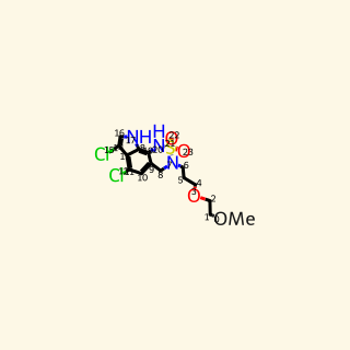 COCCOCCCN1Cc2cc(Cl)c3c(Cl)c[nH]c3c2NS1(=O)=O